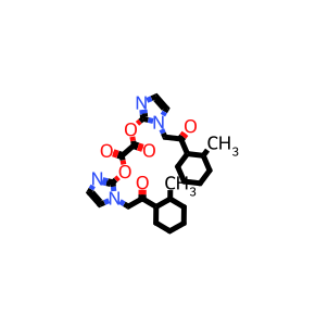 CC1CCCCC1C(=O)Cn1ccnc1OC(=O)C(=O)Oc1nccn1CC(=O)C1CCCCC1C